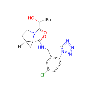 CC(C)(C)[C@@H](O)C(=O)N1CC[C@@H]2C[C@@]21C(=O)NCc1cc(Cl)ccc1-n1cnnn1